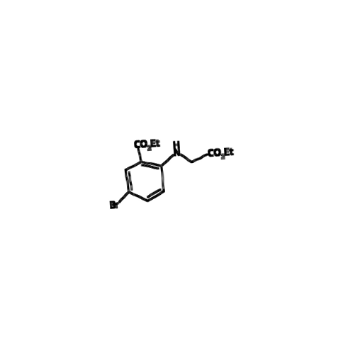 CCOC(=O)CNc1ccc(Br)cc1C(=O)OCC